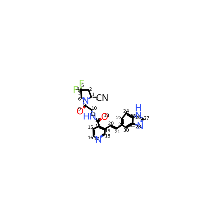 N#C[C@@H]1CC(F)(F)CN1C(=O)CNC(=O)c1ccncc1/C=C/c1ccc2[nH]cnc2c1